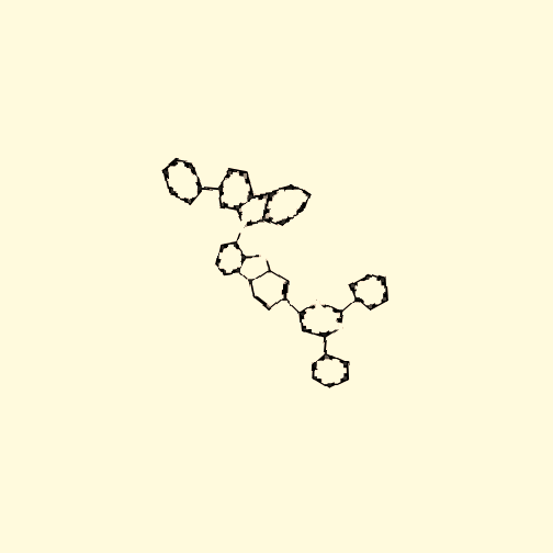 C1=CC2c3cccc(-n4c5ccccc5c5ccc(-c6ccccc6)cc54)c3OC2C=C1c1cc(-c2ccccc2)nc(-c2ccccc2)n1